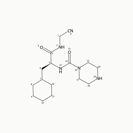 N#CCNC(=O)[C@H](CC1CCCCC1)NC(=O)N1CCNCC1